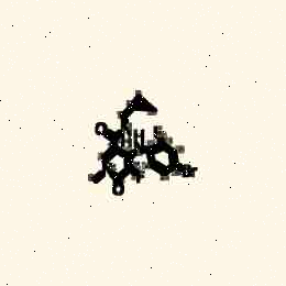 Cn1cc(C(=O)NCC2CC2)c(Nc2ccc(Br)cc2F)c(F)c1=O